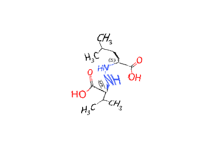 CC(C)C[C@H](NN[C@H](C(=O)O)C(C)C)C(=O)O